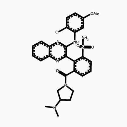 COc1ccc(Cl)c(Nc2nc3ccccc3nc2-c2c(C(=O)N3CCC(N(C)C)C3)cccc2S(N)(=O)=O)c1